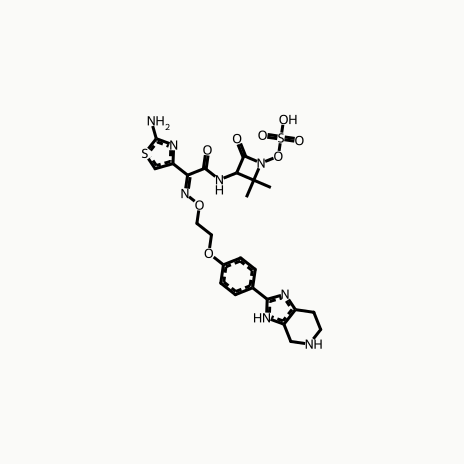 CC1(C)C(NC(=O)C(=NOCCOc2ccc(-c3nc4c([nH]3)CNCC4)cc2)c2csc(N)n2)C(=O)N1OS(=O)(=O)O